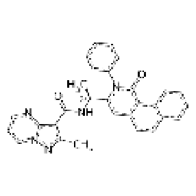 Cc1nn2cccnc2c1C(=O)N[C@@H](C)c1cc2ccc3ccccc3c2c(=O)n1-c1ccccc1